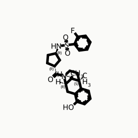 CC1(C)[C@H]2Cc3c(O)cccc3[C@]1(C)CCN2C(=O)[C@@H]1CC[C@@H](NS(=O)(=O)c2ccccc2F)C1